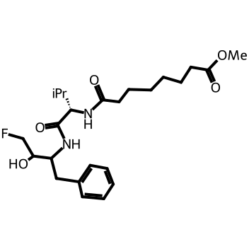 COC(=O)CCCCCCC(=O)N[C@H](C(=O)NC(Cc1ccccc1)C(O)CF)C(C)C